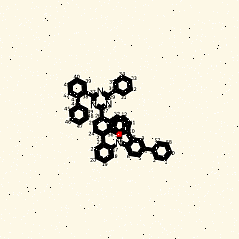 c1ccc(-c2ccc3c(c2)c2ccccc2n3-c2ccccc2-c2ccc(-c3nc(-c4ccccc4)nc(-c4ccccc4-c4ccccc4)n3)c3ccccc23)cc1